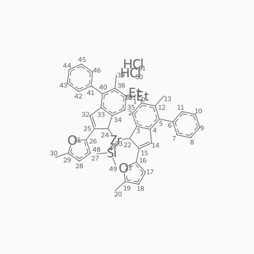 CCc1cc2c(c(-c3ccccc3)c1C)C=C(c1ccc(C)o1)[CH]2[Zr]([CH]1C(c2ccc(C)o2)=Cc2c1cc(CC)c(C)c2-c1ccccc1)=[Si](C)C.Cl.Cl